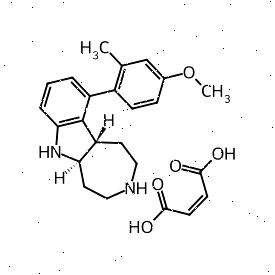 COc1ccc(-c2cccc3c2[C@@H]2CCNCC[C@H]2N3)c(C)c1.O=C(O)/C=C\C(=O)O